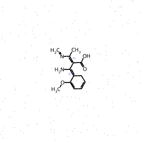 C=N/C(C)=C(C(=O)O)\C(N)=C1/CC=CC=C1OC